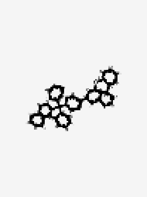 c1ccc(C2(c3ccc(-c4cc5c6c(cccc6c4)-c4ccccc4O5)cc3)c3ccccc3-c3c2ccc2ccccc32)cc1